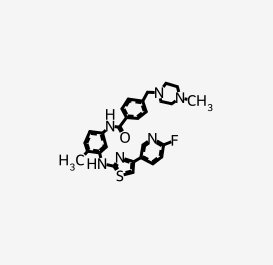 Cc1ccc(NC(=O)c2ccc(CN3CCN(C)CC3)cc2)cc1Nc1nc(-c2ccc(F)nc2)cs1